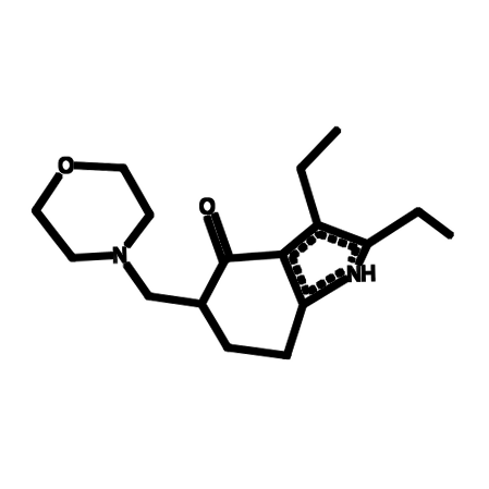 CCc1[nH]c2c(c1CC)C(=O)C(CN1CCOCC1)CC2